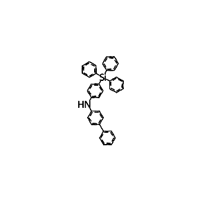 c1ccc(-c2ccc(Nc3ccc([Si](c4ccccc4)(c4ccccc4)c4ccccc4)cc3)cc2)cc1